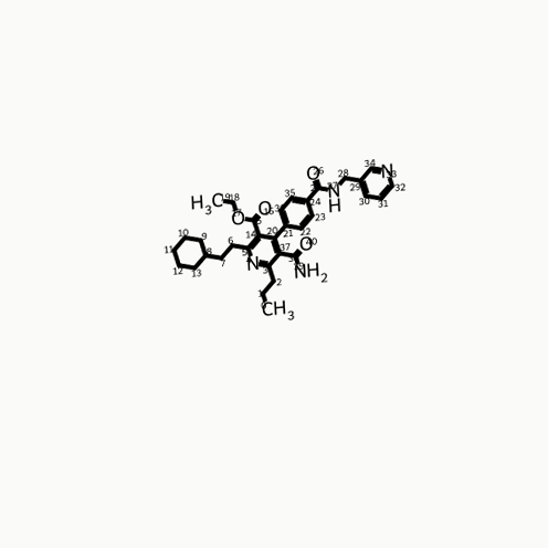 CCCc1nc(CCC2CCCCC2)c(C(=O)OCC)c(-c2ccc(C(=O)NCc3cccnc3)cc2)c1C(N)=O